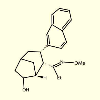 CCC(=NOC)[C@H]1[C@@H](c2ccc3ccccc3c2)CC2CC(O)[C@@H]1C2